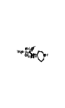 CC(C)(C)[S@@+]([O-])N[C@@H]1CCCNCC1